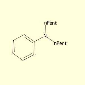 CCCCCN(CCCCC)c1[c]cccc1